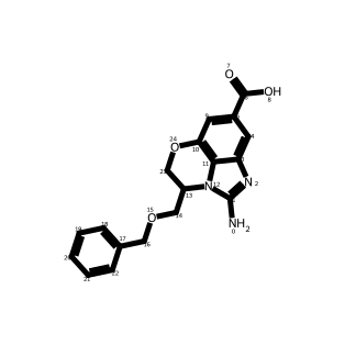 Nc1nc2cc(C(=O)O)cc3c2n1C(COCc1ccccc1)CO3